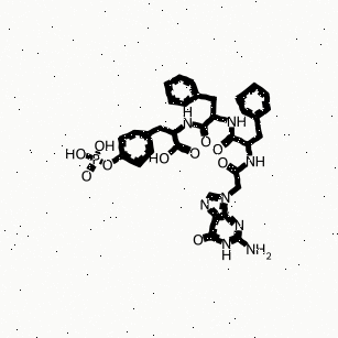 Nc1nc2c(ncn2CC(=O)NC(Cc2ccccc2)C(=O)NC(Cc2ccccc2)C(=O)NC(Cc2ccc(OP(=O)(O)O)cc2)C(=O)O)c(=O)[nH]1